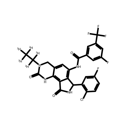 [2H]C([2H])([2H])C([2H])([2H])N1Cc2cc(NC(=O)c3cc(F)cc(C(F)(F)F)c3)c3c(c2NC1=O)C(=O)NC3c1cc(F)ccc1Cl